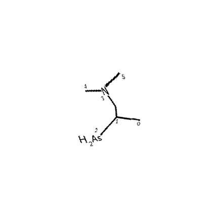 CC([AsH2])N(C)C